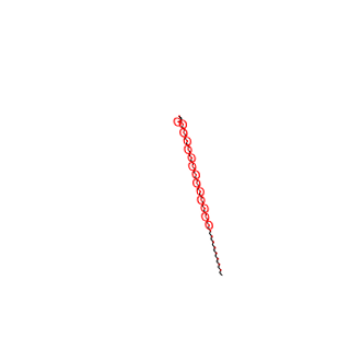 C=CC(=O)OCCOCCOCCOCCOCCOCCOCCOCCOCCOCCOCCOCCOCCCCCCCCCCCCCCCCCC